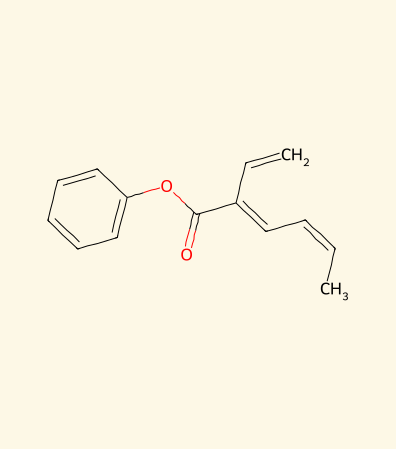 C=C/C(=C\C=C/C)C(=O)Oc1ccccc1